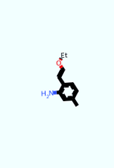 CCOC=Cc1ccc(C)cc1N